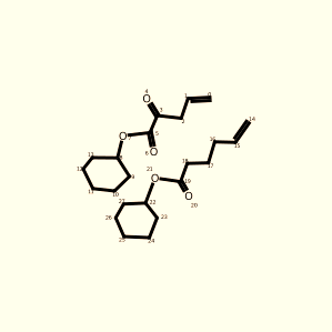 C=CCC(=O)C(=O)OC1CCCCC1.C=CCCCC(=O)OC1CCCCC1